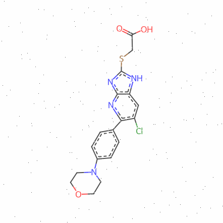 O=C(O)CSc1nc2nc(-c3ccc(N4CCOCC4)cc3)c(Cl)cc2[nH]1